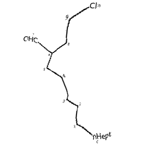 CCCCCCCCCCCCC(C=O)CCCl